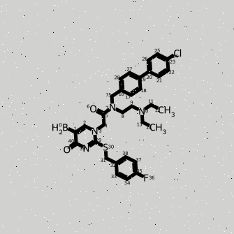 Bc1cn(CC(=O)N(CCN(CC)CC)Cc2ccc(-c3ccc(Cl)cc3)cc2)c(SCc2ccc(F)cc2)nc1=O